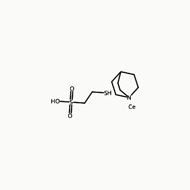 C1CN2CCC1CC2.O=S(=O)(O)CCS.[Ce]